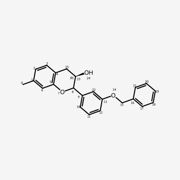 Cc1ccc2c(c1)OC(c1cccc(OCc3ccccc3)c1)[C@H](O)C2